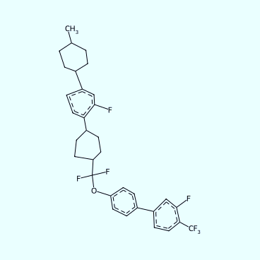 CC1CCC(c2ccc(C3CCC(C(F)(F)Oc4ccc(-c5ccc(C(F)(F)F)c(F)c5)cc4)CC3)c(F)c2)CC1